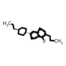 CCCc1ccc2cc([C@H]3CC[C@H](CCC)CC3)ccc2c1F